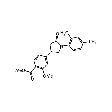 COC(=O)c1ccc(C2CC(=O)N(c3ccc(C)cc3C)C2)cc1OC